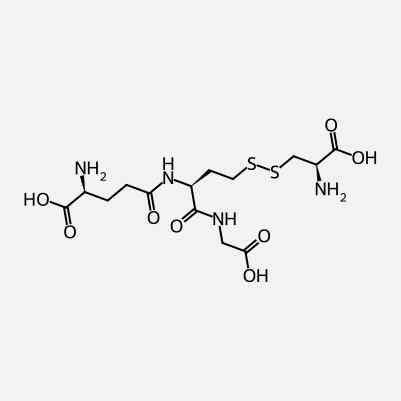 N[C@@H](CCC(=O)N[C@@H](CCSSC[C@H](N)C(=O)O)C(=O)NCC(=O)O)C(=O)O